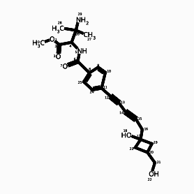 COC(=O)C(NC(=O)c1ccc(C#CC#CCC2(O)CC(CO)C2)cc1)C(C)(C)N